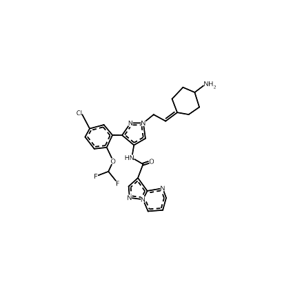 NC1CCC(=CCn2cc(NC(=O)c3cnn4cccnc34)c(-c3cc(Cl)ccc3OC(F)F)n2)CC1